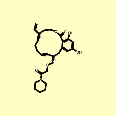 C=C/C1=C\CC/C=C/C(=N\OCC(=O)N2CCCCC2)Cc2cc(O)cc(O)c2C(=O)OCC1